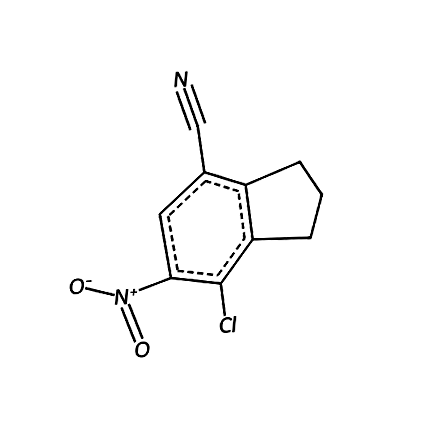 N#Cc1cc([N+](=O)[O-])c(Cl)c2c1CCC2